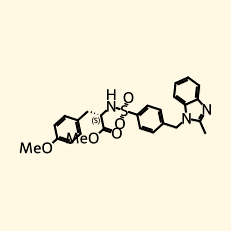 COC(=O)[C@H](Cc1ccc(OC)cc1)NS(=O)(=O)c1ccc(Cn2c(C)nc3ccccc32)cc1